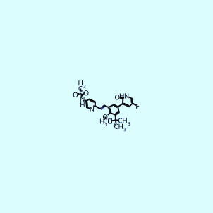 COc1c(/C=C/c2ccc(NS(C)(=O)=O)cn2)cc(-c2cc(F)c[nH]c2=O)cc1C(C)(C)C